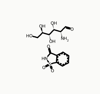 N[C@@H](C=O)[C@@H](O)[C@H](O)[C@H](O)CO.O=C1NS(=O)(=O)c2ccccc21